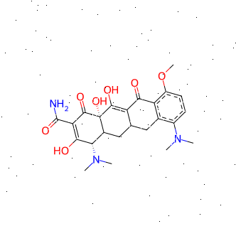 COc1ccc(N(C)C)c2c1C(=O)C1=C(O)[C@]3(O)C(=O)C(C(N)=O)=C(O)[C@@H](N(C)C)C3CC1C2